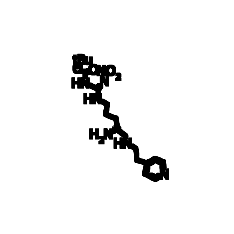 CC(C)(C)OC(=O)NC(=N[N+](=O)[O-])NCCC[C@H](N)CNCCc1ccncc1